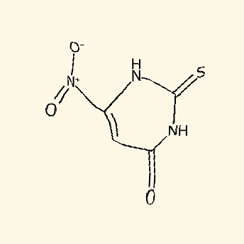 O=c1cc([N+](=O)[O-])[nH]c(=S)[nH]1